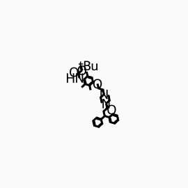 Cc1cc(OCCN2CCN(C(=O)CC(c3ccccc3)c3ccccc3)CC2)c(C)c(C)c1NC(=O)OC(C)(C)C